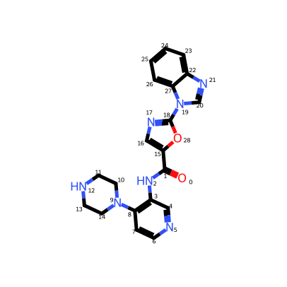 O=C(Nc1cnccc1N1CCNCC1)c1cnc(-n2cnc3ccccc32)o1